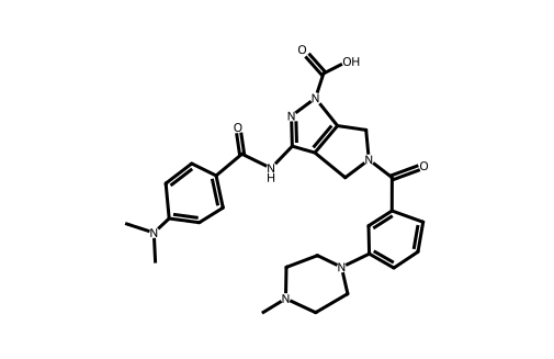 CN1CCN(c2cccc(C(=O)N3Cc4c(NC(=O)c5ccc(N(C)C)cc5)nn(C(=O)O)c4C3)c2)CC1